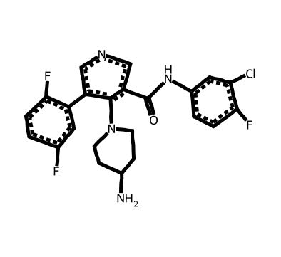 NC1CCN(c2c(C(=O)Nc3ccc(F)c(Cl)c3)cncc2-c2cc(F)ccc2F)CC1